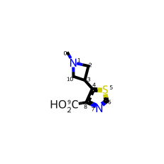 CN1CC(c2scnc2C(=O)O)C1